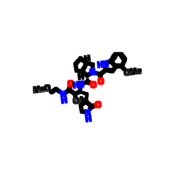 COCCNC(=O)C(OC(C)=O)[C@H](C[C@@H]1CCNC1=O)NC(=O)[C@@H]1[C@H]2CCC[C@H]2CN1C(=O)c1cc2c(OC)cccc2[nH]1